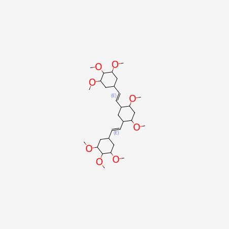 COC1CC(OC)C(/C=C/C2CC(OC)C(OC)C(OC)C2)CC1/C=C/C1CC(OC)C(OC)C(OC)C1